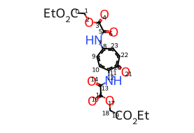 CCOC(=O)COC(=O)C(=O)Nc1ccc(NC(=O)C(=O)OCC(=O)OCC)c(=O)cc1